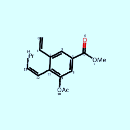 C=Cc1cc(C(=O)OC)cc(OC(C)=O)c1/C=C\C(C)C